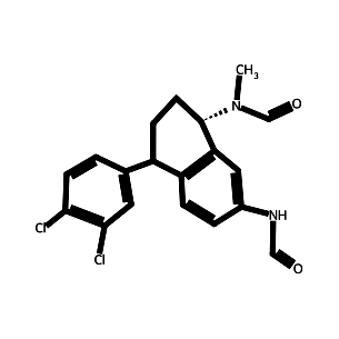 CN(C=O)[C@H]1CCC(c2ccc(Cl)c(Cl)c2)c2ccc(NC=O)cc21